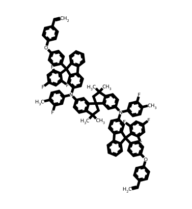 C=Cc1ccc(Oc2ccc(C3(c4c(F)cc(F)cc4F)c4ccccc4-c4ccc(N(c5ccc(C)c(F)c5)c5ccc6c(c5)C5(CC6(C)C)CC(C)(C)c6ccc(N(c7ccc(C)c(F)c7)c7ccc8c(c7)C(c7ccc(Oc9ccc(C=C)cc9)cc7)(c7c(F)cc(F)cc7F)c7ccccc7-8)cc65)cc43)cc2)cc1